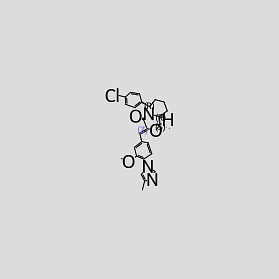 COc1cc(/C=C2\O[C@@H](C)[C@H]3CCC[C@H](c4ccc(Cl)cc4)N3C2=O)ccc1-n1cnc(C)c1